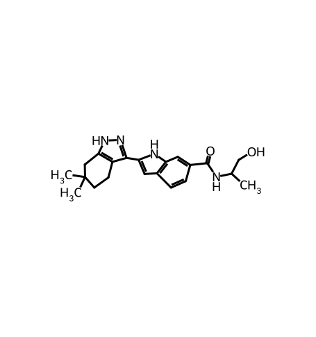 CC(CO)NC(=O)c1ccc2cc(-c3n[nH]c4c3CCC(C)(C)C4)[nH]c2c1